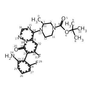 C[C@H]1CN(C(=O)OC(C)(C)C)CCN1c1ncnn2c(=O)c(-c3c(N)cccc3F)c(F)cc12